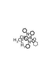 CC(C)(C)c1cc2c3c(c1)N(c1ccccc1)c1c(oc4c1CCCC4)B3c1ccccc1N2c1ccccc1